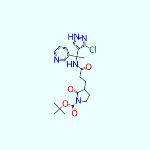 CC(C)(C)OC(=O)N1CCC(CCC(=O)NC(C)(c2cccnc2)c2c[nH]nc2Cl)C1=O